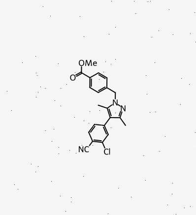 COC(=O)c1ccc(Cn2nc(C)c(-c3ccc(C#N)c(Cl)c3)c2C)cc1